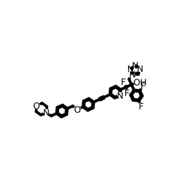 OC(Cn1cnnn1)(c1ccc(F)cc1F)C(F)(F)c1ccc(C#Cc2ccc(OCc3ccc(CN4CCOCC4)cc3)cc2)cn1